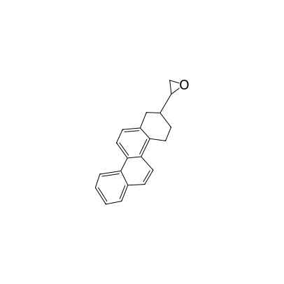 c1ccc2c(c1)ccc1c3c(ccc12)CC(C1CO1)CC3